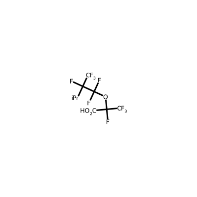 CC(C)C(F)(C(F)(F)F)C(F)(F)OC(F)(C(=O)O)C(F)(F)F